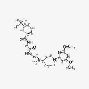 COc1cc(N2CCC[C@@H](N3CC[C@@H](NC(=O)CNC(=O)c4cccc(C(F)(F)F)c4)C3)CC2)nc(OC)n1